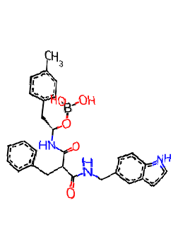 Cc1ccc(C[C@H](NC(=O)C(Cc2ccccc2)C(=O)NCc2ccc3[nH]ccc3c2)OB(O)O)cc1